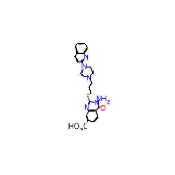 Nn1c(SCCCN2CCN(c3ccc4ccccc4n3)CC2)nc2cc(C(=O)O)ccc2c1=O